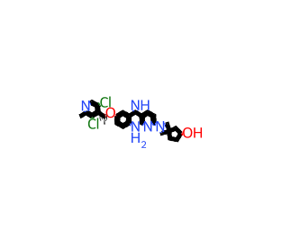 Cc1ncc(Cl)c([C@@H](C)Oc2ccc(N)c(C(=N)c3ccc(N4CC5(CCC(O)C5)C4)nc3)c2)c1Cl